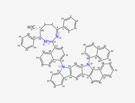 C[C@@H]1CC/C(c2ccccc2)=N\C(c2ccc(-n3c4ccccc4c4cc5c6ccc7ccccc7c6n(-c6cccc7ccccc67)c5cc43)c3ccccc23)=N/C1c1ccccc1